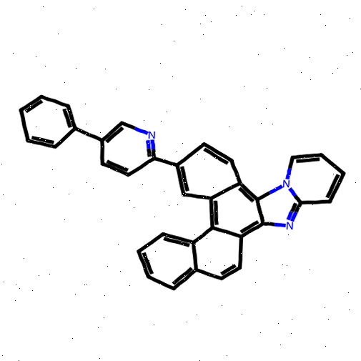 c1ccc(-c2ccc(-c3ccc4c(c3)c3c5ccccc5ccc3c3nc5ccccn5c43)nc2)cc1